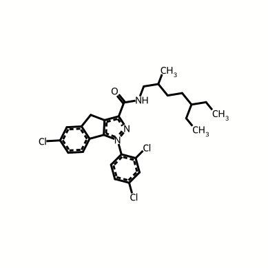 CCC(CC)CCC(C)CNC(=O)c1nn(-c2ccc(Cl)cc2Cl)c2c1Cc1cc(Cl)ccc1-2